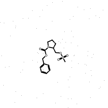 CS(=O)(=O)OCC1CCCN1C(=O)OCc1ccccc1